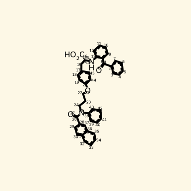 O=C(c1ccccc1)c1ccccc1N[C@@H](Cc1ccc(OCCCN(C(=O)c2ccc3ccccc3c2)c2ccccc2)cc1)C(=O)O